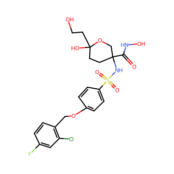 O=C(NO)C1(NS(=O)(=O)c2ccc(OCc3ccc(F)cc3Cl)cc2)CCC(O)(CCO)OC1